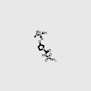 CN(/[N+](O)=N\OC1CCN(C(=O)NS(N)(=O)=O)C1)C(C)(C)C